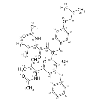 CC(=O)N[C@H](C(=O)N[C@@H](Cc1ccccc1)[C@@H](O)CN(Cc1ccc(OCC(C)C)cc1)NC(=O)[C@@H](NC(C)=O)C(C)C)C(C)C